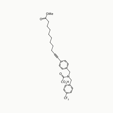 COC(=O)CCCCCCCCC#Cc1ccc(CN(Cc2ccc(C(F)(F)F)cc2)C(=O)C(=O)O)cc1